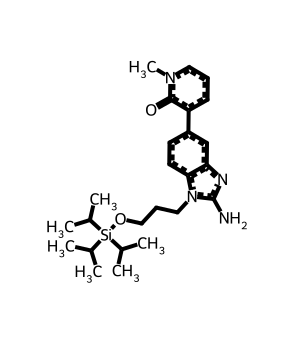 CC(C)[Si](OCCCn1c(N)nc2cc(-c3cccn(C)c3=O)ccc21)(C(C)C)C(C)C